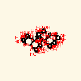 O=C1OC[C@H]2OC(=O)c3cc(O)c(O)c(O)c3-c3c(O)c(O)c(O)c4c3C(=O)O[C@H]([C@H]3OC(=O)c5c-4c(O)c(O)c(O)c5[C@@H]3c3c(O)c(O)c(O)c4c3C(=O)OC[C@H]3OC(=O)c5cc(O)c(O)c(O)c5-c5c(O)c(O)c(O)c6c5C(=O)O[C@H]([C@H]5OC(=O)c7c-6c(O)c(O)c(O)c7[C@@H]5O)[C@@H]3OC(=O)c3cc(O)c(O)c(O)c3-4)[C@@H]2OC(=O)c2cc(O)c(O)c(O)c2-c2c1cc(O)c(O)c2O